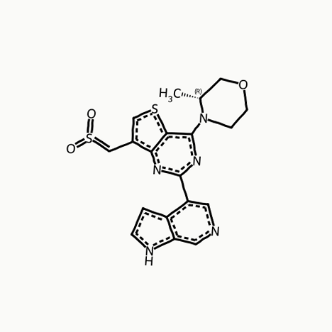 C[C@@H]1COCCN1c1nc(-c2cncc3[nH]ccc23)nc2c(C=S(=O)=O)csc12